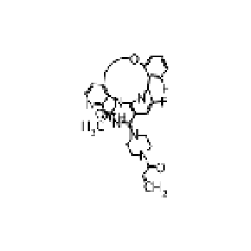 C=CC(=O)N1CCN(c2nc(=O)n3c4nc(c(F)cc24)-c2c(F)cccc2OCCCc2ccnc(C(C)C)c2-3)CC1